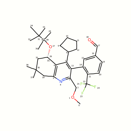 COCc1nc2c(c(C3CCCC3)c1-c1cc(C=O)ccc1C(F)(F)F)[C@@H](O[Si](C)(C)C(C)(C)C)CC(C)(C)C2